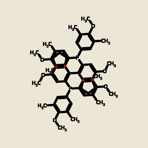 COc1cc(P(c2cc(C)c(OC)c(C)c2)c2cc(C)c(OC)c(C)c2)c(-c2c(P(c3cc(C)c(OC)c(C)c3)c3cc(C)c(OC)c(C)c3)cc(OC)c3c2OCO3)c2c1OCO2